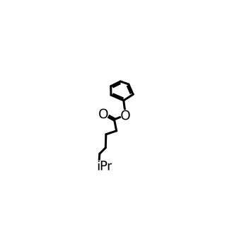 CC(C)CCCCC(=O)Oc1ccccc1